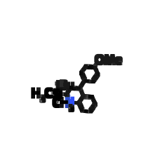 COc1ccc(-c2cc([Si](C)(C)C(C)(C)C)nc3ccccc23)cc1